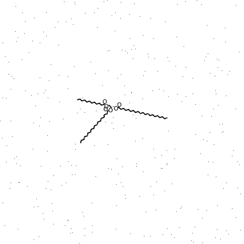 CCCCCCCCCCCCCCCCCCCCC(=O)OC[C@@H](COC(=O)CCCCCCCCCCC)OC(=O)CCCCCCCCCCCCCCCCC